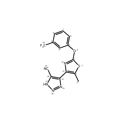 Cc1sc(Oc2cccc(C(F)(F)F)c2)nc1-c1nn[nH]c1C#N